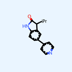 CC(C)C1C(=O)Nc2ccc(-c3ccncc3)cc21